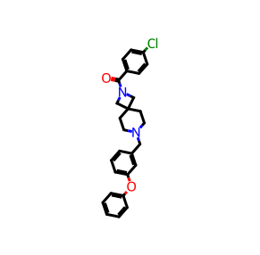 O=C(c1ccc(Cl)cc1)N1CC2(CCN(Cc3cccc(Oc4ccccc4)c3)CC2)C1